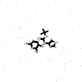 CC(C)(C)OC(=O)N(Sc1ccc(F)nc1F)c1cscn1